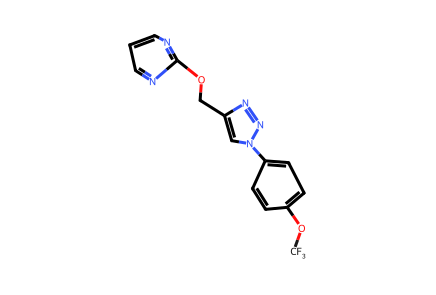 FC(F)(F)Oc1ccc(-n2cc(COc3ncccn3)nn2)cc1